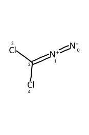 [N-]=[N+]=C(Cl)Cl